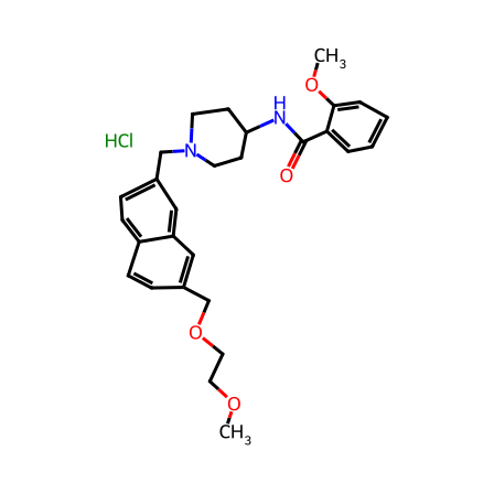 COCCOCc1ccc2ccc(CN3CCC(NC(=O)c4ccccc4OC)CC3)cc2c1.Cl